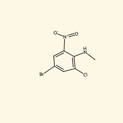 CNc1c(Cl)cc(Br)cc1[N+](=O)[O-]